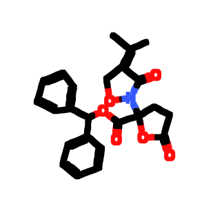 CC(C)=C1CON(C2(C(=O)OC(c3ccccc3)c3ccccc3)CCC(=O)O2)C1=O